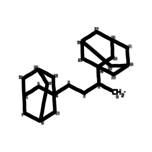 [CH2]C(CCC12CC3CC(CC(C3)C1)C2)C12CC3CC(CC(C3)C1)C2